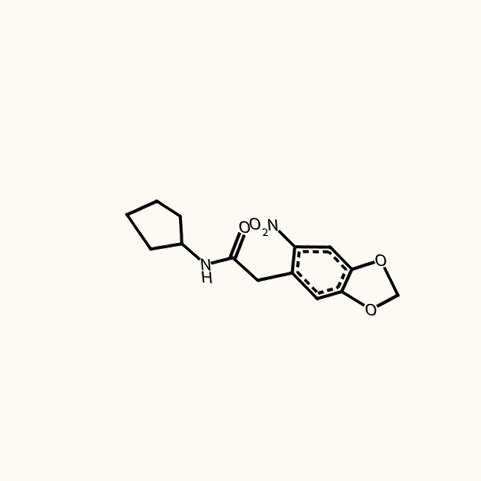 O=C(Cc1cc2c(cc1[N+](=O)[O-])OCO2)NC1CCCC1